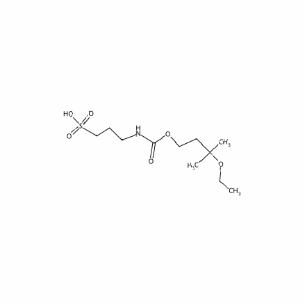 CCOC(C)(C)CCOC(=O)NCCCS(=O)(=O)O